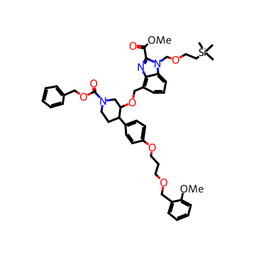 COC(=O)c1nc2c(COC3CN(C(=O)OCc4ccccc4)CCC3c3ccc(OCCCOCc4ccccc4OC)cc3)cccc2n1COCC[Si](C)(C)C